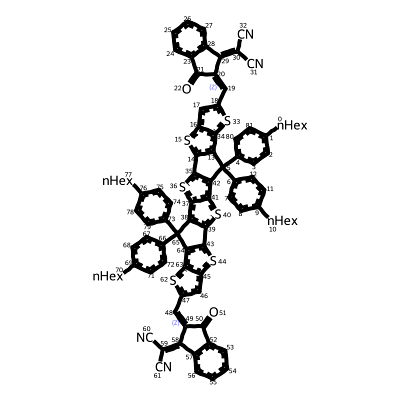 CCCCCCc1ccc(C2(c3ccc(CCCCCC)cc3)c3c(sc4cc(/C=C5\C(=O)c6ccccc6C5=C(C#N)C#N)sc34)-c3sc4c5c(sc4c32)-c2sc3cc(/C=C4\C(=O)c6ccccc6C4=C(C#N)C#N)sc3c2C5(c2ccc(CCCCCC)cc2)c2ccc(CCCCCC)cc2)cc1